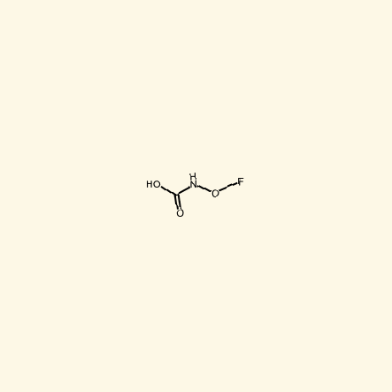 O=C(O)NOF